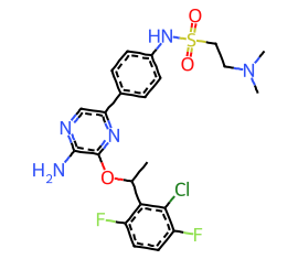 CC(Oc1nc(-c2ccc(NS(=O)(=O)CCN(C)C)cc2)cnc1N)c1c(F)ccc(F)c1Cl